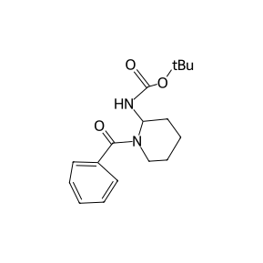 CC(C)(C)OC(=O)NC1CCCCN1C(=O)c1ccccc1